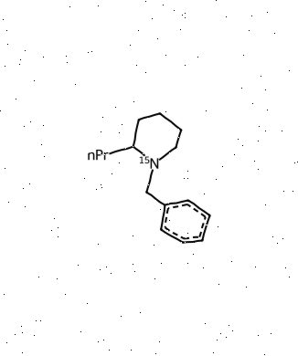 CCCC1CCCC[15N]1Cc1ccccc1